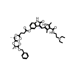 CCN(CC)CCNC(=O)c1c(C)[nH]c(/C=C2\C(=O)Nc3ccc(OC(=O)CCC(=O)O[C@@H](C)C(=O)O[C@H](C)C(=O)OCc4ccccc4)cc32)c1C